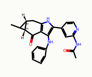 CC(=O)Nc1cc(-c2[nH]c3c(c2Nc2ccccc2)C(=O)[C@@H]2C(C)[C@@H]2C3)ccn1